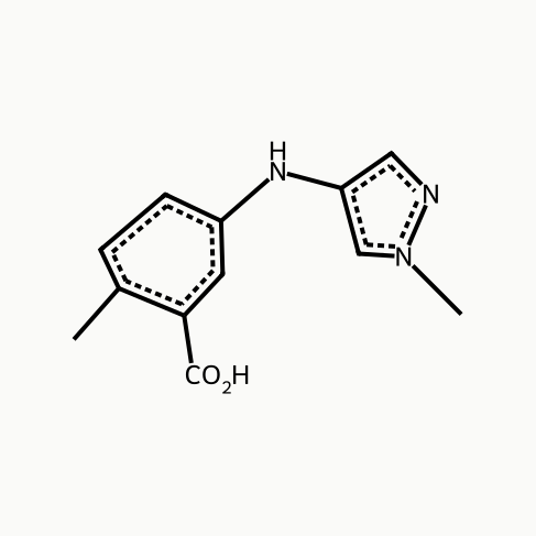 Cc1ccc(Nc2cnn(C)c2)cc1C(=O)O